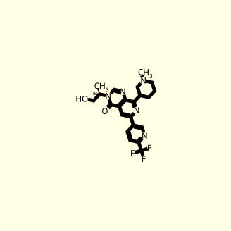 C[C@@H](CO)n1cnc2c(C3CCCN(C)C3)nc(-c3ccc(C(F)(F)F)nc3)cc2c1=O